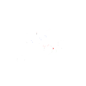 CC(=O)N(C(Cc1ccccc1)C(O)C(F)(F)F)N1C(=O)C(C(C)C)N(C(=O)CCc2ccccc2)C=C1c1ccccc1